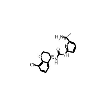 C[C@@H](N)c1cccc(NC(=O)N[C@H]2CCOc3c(Cl)cccc32)n1